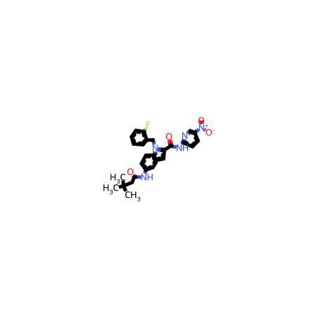 CC(C)(C)CC(=O)Nc1ccc2c(c1)cc(C(=O)Nc1ccc([N+](=O)[O-])cn1)n2Cc1ccccc1F